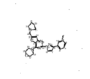 Cc1cccc(-c2ccn(-c3nc(N4CCOCC4)c4sc(CN5CCCC5)cc4n3)n2)c1